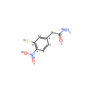 NC(=O)Cc1ccc([N+](=O)[O-])c(F)c1